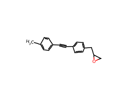 Cc1ccc(C#Cc2ccc(CC3CO3)cc2)cc1